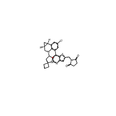 O=C1CCC(=O)N1Cc1cc2nccc(-c3cc(Cl)cc4c3N(C3CNC5(CCC5)C3)C[C@@H]3C[C@H]43)c2s1